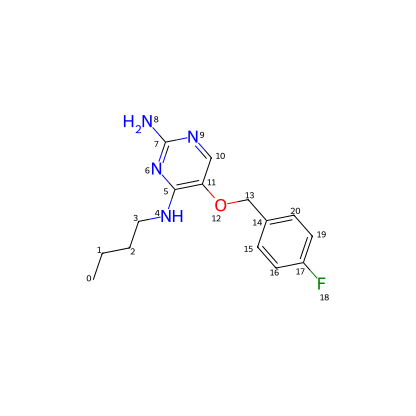 CCCCNc1nc(N)ncc1OCc1ccc(F)cc1